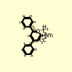 CNC.[I-].c1ccc(-c2cc[o+]c(-c3ccccc3)c2)cc1